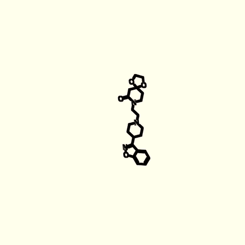 O=C1CC2(CCN1CCN1CCC(c3noc4ccccc34)CC1)OCCO2